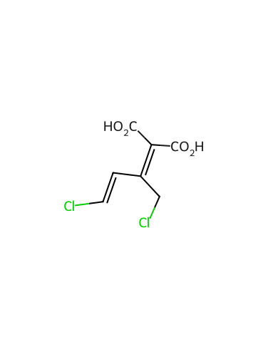 O=C(O)C(C(=O)O)=C(C=CCl)CCl